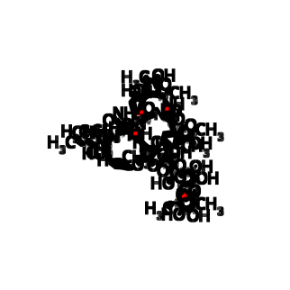 CC[C@H]1O[C@@H](O[C@H]2[C@H](O)[C@@H](O)[C@H](O[C@H]3[C@H](O)[C@@H](O)[C@H](Oc4c5cc6cc4Oc4ccc(cc4C)[C@@H](O[C@H]4CC(C)(C)[C@@H](O)[C@H](C)O4)[C@@H]4NC(=O)[C@H](NC(=O)[C@@H]6NC(=O)[C@H](CC(N)=O)NC(=O)[C@H](NC(=O)[C@@H](CC(C)C)N(C)C)[C@H](O)c6ccc(c(C)c6)O5)c5ccc(O)c(c5)-c5c(cc(O)c(C)c5O)[C@H](C(C)=O)NC4=O)O[C@@H]3CO)O[C@@H]2CO)[C@H](C)[C@@H](O)[C@H]1O